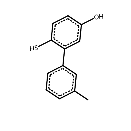 Cc1cccc(-c2cc(O)ccc2S)c1